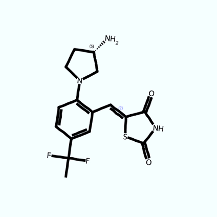 CC(F)(F)c1ccc(N2CC[C@H](N)C2)c(/C=C2\SC(=O)NC2=O)c1